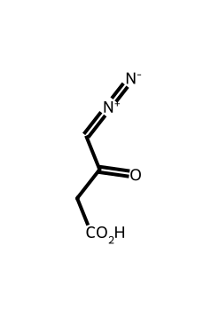 [N-]=[N+]=CC(=O)CC(=O)O